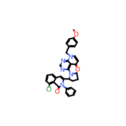 COc1ccc(Cn2ccc(=O)c3c(N4CCCC4c4cc5cccc(Cl)c5c(=O)n4-c4ccccc4)ncnc32)cc1